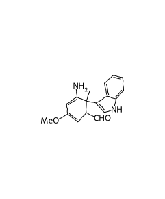 COC1=CC(C=O)C(C)(c2c[nH]c3ccccc23)C(N)=C1